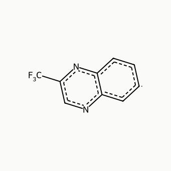 FC(F)(F)c1cnc2c[c]ccc2n1